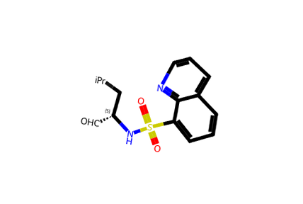 CC(C)C[C@@H](C=O)NS(=O)(=O)c1cccc2cccnc12